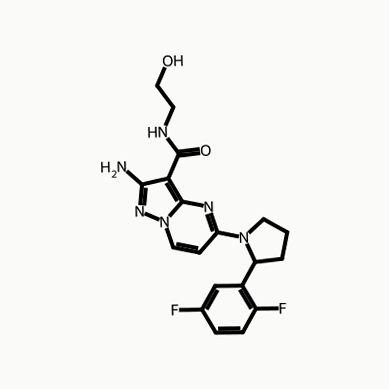 Nc1nn2ccc(N3CCCC3c3cc(F)ccc3F)nc2c1C(=O)NCCO